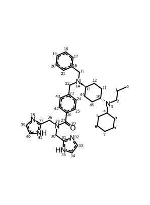 CCCN(C1CCCCC1)[C@H]1CC[C@H](N(Cc2ccccc2)Cc2ccc(C(=O)N(Cc3ncc[nH]3)Cc3ncc[nH]3)cc2)CC1